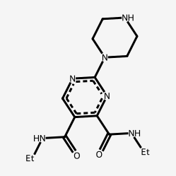 CCNC(=O)c1cnc(N2CCNCC2)nc1C(=O)NCC